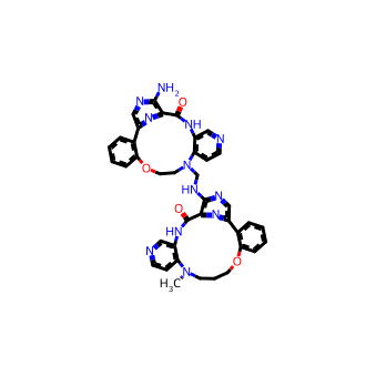 CN1CCCOc2ccccc2-c2cnc(NCN3CCOc4ccccc4-c4cnc(N)c(n4)C(=O)Nc4cnccc43)c(n2)C(=O)Nc2cnccc21